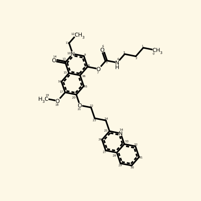 CCCCNC(=O)Oc1cn(CC)c(=O)c2cc(OC)c(OCCCc3ccc4ccccc4n3)cc12